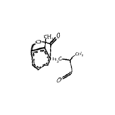 CC(C)C=O.Cc1c2cccc1C(=O)O2